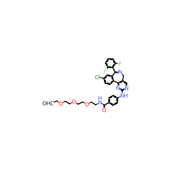 O=CCOCCOCCOCCNC(=O)c1ccc(Nc2ncc3c(n2)-c2ccc(Cl)cc2C(c2c(F)cccc2F)=NC3)cc1